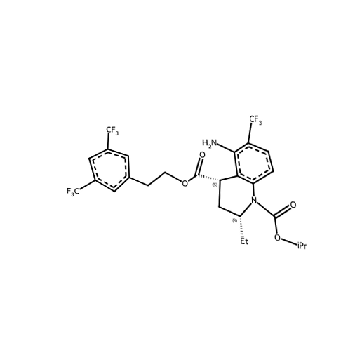 CC[C@@H]1C[C@H](C(=O)OCCc2cc(C(F)(F)F)cc(C(F)(F)F)c2)c2c(ccc(C(F)(F)F)c2N)N1C(=O)OC(C)C